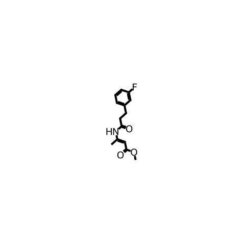 COC(=O)C=C(C)NC(=O)CCc1cccc(F)c1